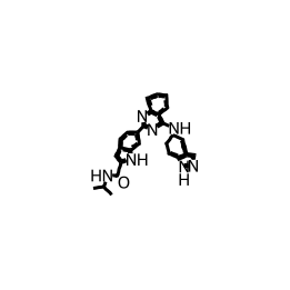 CC(C)NC(=O)c1cc2ccc(-c3nc(NC4C=c5cn[nH]c5=CC4)c4ccccc4n3)cc2[nH]1